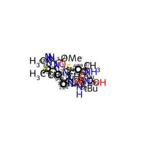 COC(=O)C[C@@H]1N=C(c2ccc(-c3cccc4c3cnn4CC(=O)NC(C(=O)N3C[C@H](O)C[C@H]3C(=O)N[C@@H](C)c3ccc(-c4scnc4C)cc3)C(C)(C)C)cc2)c2c(sc(C)c2C)-n2c(C)nnc21